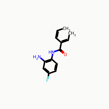 C/C=C\C(=C/C)C(=O)Nc1ccc(F)cc1N